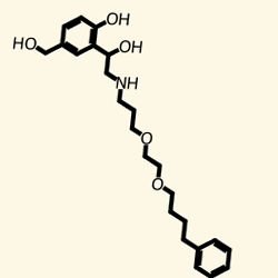 OCc1ccc(O)c(C(O)CNCCCOCCOCCCCc2ccccc2)c1